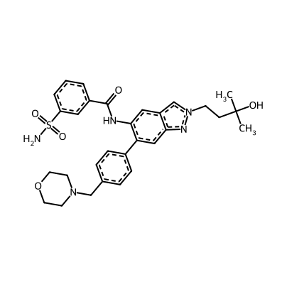 CC(C)(O)CCn1cc2cc(NC(=O)c3cccc(S(N)(=O)=O)c3)c(-c3ccc(CN4CCOCC4)cc3)cc2n1